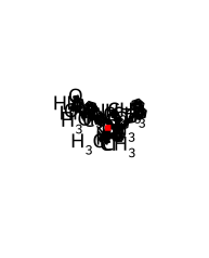 Cc1nn(C)c(C)c1-c1c(Cl)ccc2c(CCCOc3cccc4ccccc34)c(C(=O)OC(C)(C)C)n(CCN3CCN(N(C)c4c(N)cccc4C(=O)NC4CCC(=O)NC4=O)CC3)c12